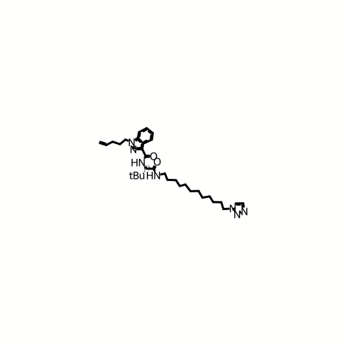 C=CCCCn1nc(C(=O)N[C@H](C(=O)NCCCCCCCCCCCCn2ccnn2)C(C)(C)C)c2ccccc21